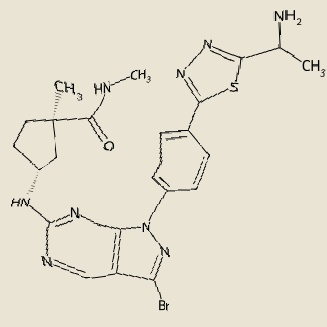 CNC(=O)[C@]1(C)CC[C@@H](Nc2ncc3c(Br)nn(-c4ccc(-c5nnc(C(C)N)s5)cc4)c3n2)C1